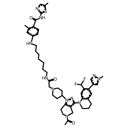 CC(=O)N1CCc2c(c(N3CCCc4cc(-c5cnn(C)c5)c(C(F)F)cc43)nn2C2CCN(CC(=O)NCCCCCCCNc3ccc(C(=O)Nc4ncc(C)s4)c(C)c3)CC2)C1